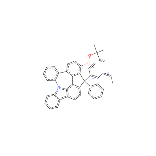 C=C/C(=C\C=C/C)C1(c2ccccc2)c2ccc3c4ccccc4n4c3c2-c2c(ccc(B(C)OC(C)(C)C(C)(C)C)c21)-c1ccccc1-4